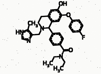 CCN(CC)C(=O)c1ccc(C2c3cc(Oc4ccc(F)cc4)c(O)cc3CCN2Cc2nc[nH]c2C)cc1